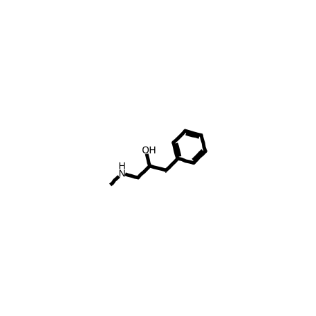 CNCC(O)[CH]c1ccccc1